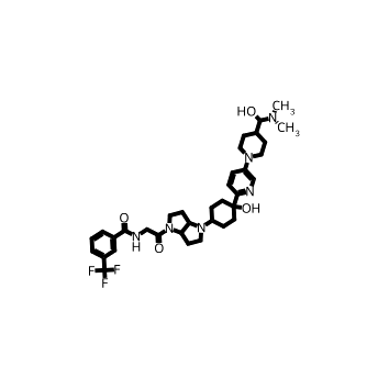 CN(C)C(O)C1CCN(c2ccc(C3(O)CCC(N4CCC5C4CCN5C(=O)CNC(=O)c4cccc(C(F)(F)F)c4)CC3)nc2)CC1